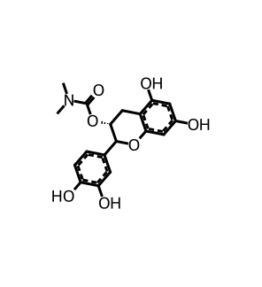 CN(C)C(=O)O[C@@H]1Cc2c(O)cc(O)cc2OC1c1ccc(O)c(O)c1